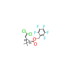 CC1(C)[C@H](C(=O)OCc2c(F)c(F)c(F)c(F)c2F)[C@@H]1C=C(Cl)Cl